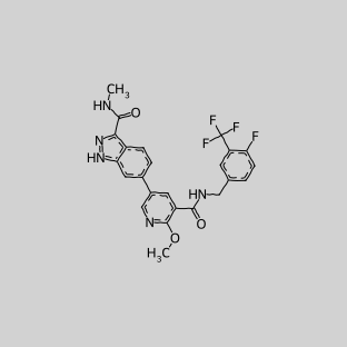 CNC(=O)c1n[nH]c2cc(-c3cnc(OC)c(C(=O)NCc4ccc(F)c(C(F)(F)F)c4)c3)ccc12